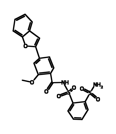 COc1cc(-c2cc3ccccc3o2)ccc1C(=O)NS(=O)(=O)c1ccccc1S(N)(=O)=O